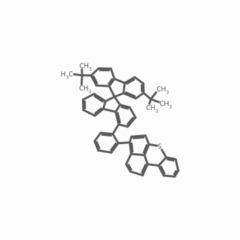 CC(C)(C)c1ccc2c(c1)C1(c3cc(C(C)(C)C)ccc3-2)c2ccccc2-c2c(-c3ccccc3-c3ccc4c5c(cccc35)-c3ccccc3S4)cccc21